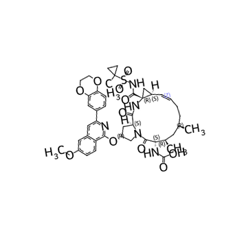 COc1ccc2c(O[C@@H]3C[C@H]4C(=O)N[C@]5(C(=O)NS(=O)(=O)C6(C)CC6)C[C@H]5/C=C\CC[C@@H](C)C[C@@H](C)[C@H](NC(=O)O)C(=O)N4C3)nc(-c3ccc4c(c3)OCCO4)cc2c1